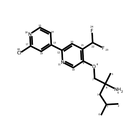 CC(C)CC(C)(N)COc1cnc(-c2ccnc(Cl)c2)cc1C(F)F